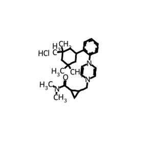 CN(C)C(=O)C1CC1CN1C=CN(c2ccccc2C2CC(C)(C)CC(C)(C)C2)C=C1.Cl